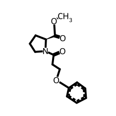 COC(=O)[C@@H]1CCCN1C(=O)CCOc1ccccc1